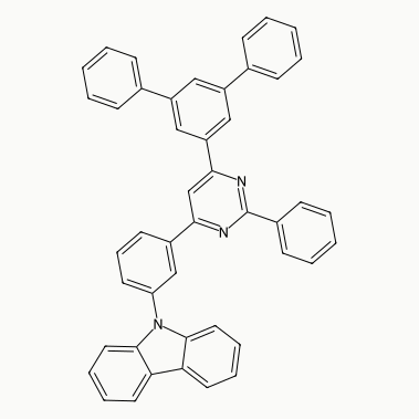 c1ccc(-c2cc(-c3ccccc3)cc(-c3cc(-c4cccc(-n5c6ccccc6c6ccccc65)c4)nc(-c4ccccc4)n3)c2)cc1